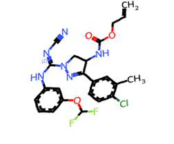 C=CCOC(=O)NC1CN(/C(=N\C#N)Nc2cccc(OC(F)F)c2)N=C1c1ccc(Cl)c(C)c1